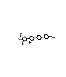 C=CCc1ccc(-c2ccc(-c3ccc(-c4cc(F)c(F)c(F)c4)c(F)c3)cc2)cc1